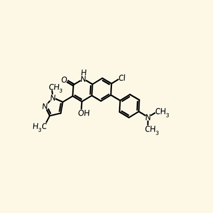 Cc1cc(-c2c(O)c3cc(-c4ccc(N(C)C)cc4)c(Cl)cc3[nH]c2=O)n(C)n1